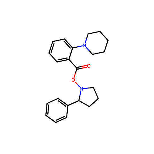 O=C(ON1CCCC1c1ccccc1)c1ccccc1N1CCCCC1